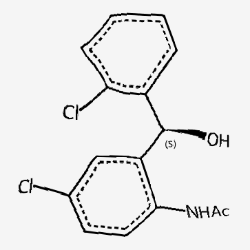 CC(=O)Nc1ccc(Cl)cc1[C@H](O)c1ccccc1Cl